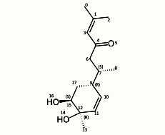 CC(C)=CC(=O)C[C@H](C)[C@@H]1C=C[C@@](C)(O)[C@@H](O)C1